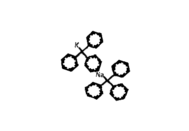 [K][C](c1ccccc1)(c1ccccc1)c1ccccc1.[Na][C](c1ccccc1)(c1ccccc1)c1ccccc1